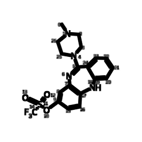 CN1CCN(C2=Nc3cc(OS(=O)(=O)C(F)(F)F)ccc3Nc3ccccc32)CC1